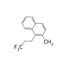 Cc1ccc2ccccc2c1CCC(F)(F)F